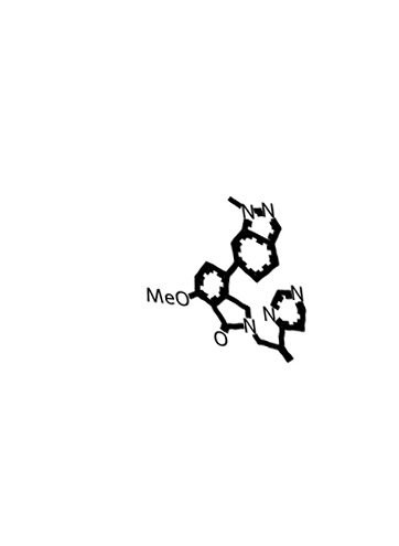 C=C(CN1Cc2c(-c3ccc4cnn(C)c4c3)ccc(OC)c2C1=O)c1ccncn1